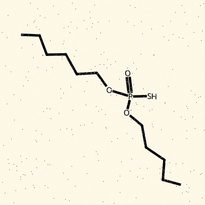 CCCCCCOP(=O)(S)OCCCCC